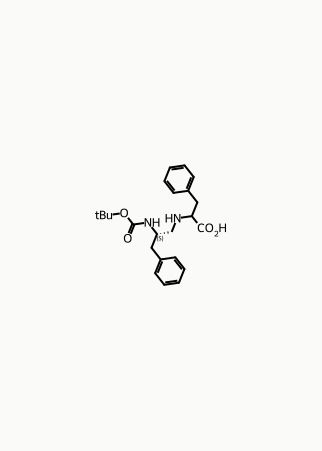 CC(C)(C)OC(=O)N[C@H](CNC(Cc1ccccc1)C(=O)O)Cc1ccccc1